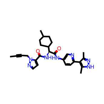 CC#CCn1nccc1C(=O)N[C@H](C(=O)Nc1ccc(-c2c(C)n[nH]c2C)nc1)C1CCC(C)CC1